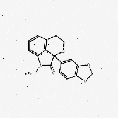 CCCCCN1C(=O)C2(c3ccc4c(c3)OCO4)OCCc3cccc1c32